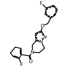 O=C(C1=CCCC=C1F)N1CCn2nc(OCc3cccc(F)c3)cc2C1